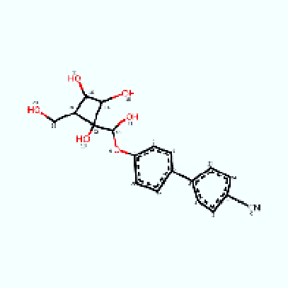 N#Cc1ccc(-c2ccc(OC(O)C3(O)C(O)C(O)C3CO)cc2)cc1